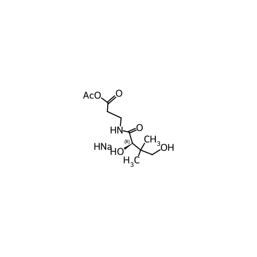 CC(=O)OC(=O)CCNC(=O)[C@H](O)C(C)(C)CO.[NaH]